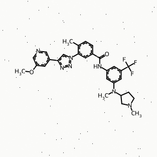 COc1cncc(-c2cn(-c3cc(C(=O)Nc4cc(N(C)C5CCN(C)C5)cc(C(F)(F)F)c4)ccc3C)nn2)c1